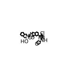 O=C1c2cc(-c3nc(NC4CCOCC4)ncc3Cl)ccc2CN1CC(=O)N1Cc2ccccc2C[C@H]1CO